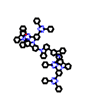 c1ccc(-c2nc(-c3ccccc3)nc(-c3ccc(-n4c5ccccc5c5cc(-n6c7ccccc7c7cc(-c8cccc9c8c8ccccc8n9-c8ccc9c%10ccc(-n%11c%12ccccc%12c%12ccccc%12%11)cc%10n(-c%10ccc(-c%11nc(-c%12ccccc%12)nc(-c%12ccccc%12)n%11)cc%10-c%10nc(-c%11ccccc%11)nc(-c%11ccccc%11)n%10)c9c8)ccc76)ccc54)c(-c4nc(-c5ccccc5)nc(-c5ccccc5)n4)c3)n2)cc1